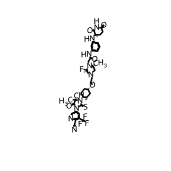 C[C@H]1CN(CCO[C@H]2CC[C@H](N3C(=S)N(c4cnc(C#N)c(C(F)(F)F)c4)C(=O)C3(C)C)CC2)C[C@@H](F)N1CC(=O)Nc1cccc(N[C@H]2CCC(=O)NC2=O)c1